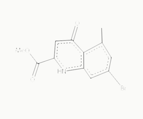 COC(=O)c1cc(=O)c2c(C)cc(Br)cc2[nH]1